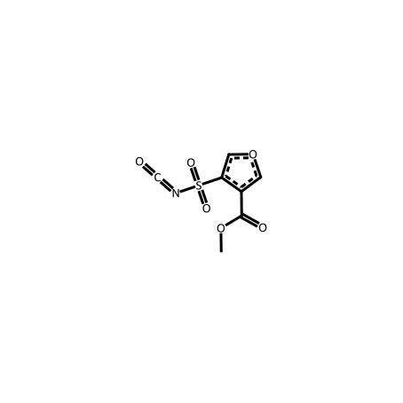 COC(=O)c1cocc1S(=O)(=O)N=C=O